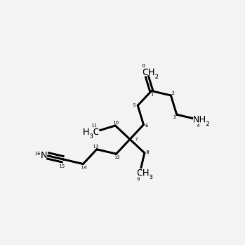 C=C(CCN)CCC(CC)(CC)CCCC#N